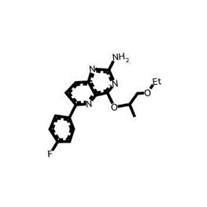 CCOCC(C)Oc1nc(N)nc2ccc(-c3ccc(F)cc3)nc12